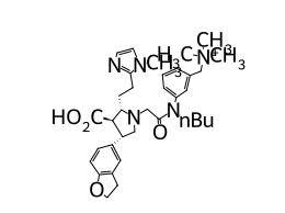 CCCCN(C(=O)CN1C[C@H](c2ccc3c(c2)CCO3)[C@@H](C(=O)O)[C@@H]1CCc1nccn1C)c1cccc(C[N+](C)(C)C)c1